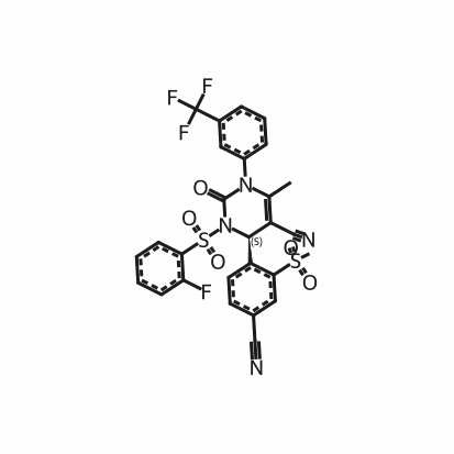 CC1=C(C#N)[C@@H](c2ccc(C#N)cc2S(C)(=O)=O)N(S(=O)(=O)c2ccccc2F)C(=O)N1c1cccc(C(F)(F)F)c1